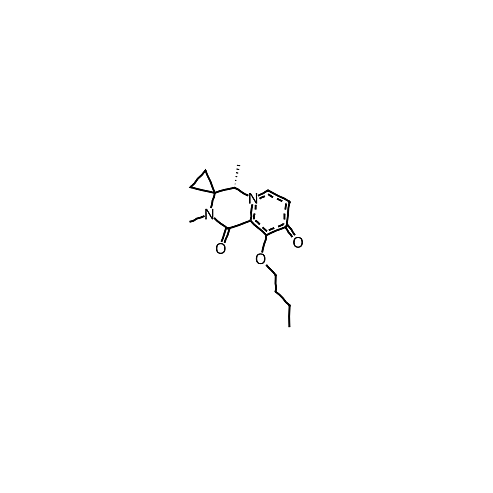 CCCCOc1c2n(ccc1=O)[C@@H](C)C1(CC1)N(C)C2=O